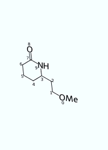 COCCC1CCCC(=O)N1